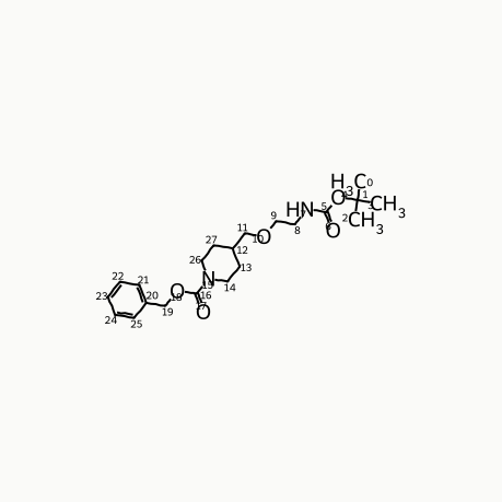 CC(C)(C)OC(=O)NCCOCC1CCN(C(=O)OCc2ccccc2)CC1